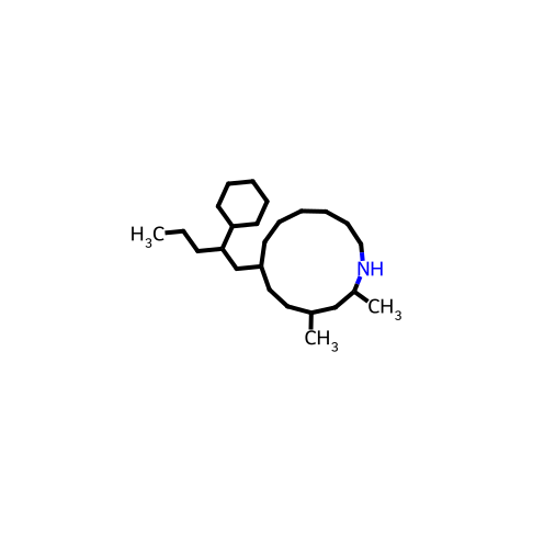 CCCC(CC1CCCCCCNC(C)CC(C)CC1)C1CCCCC1